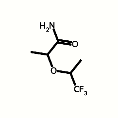 CC(OC(C)C(F)(F)F)C(N)=O